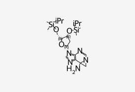 CC(C)[Si](C)(C)OC[C@H]1O[C@@H](n2cnc3c2N=CN2CC32N)C[C@H]1O[Si](C)(C)C(C)C